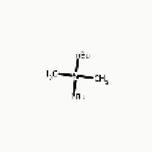 CCCC[Si](C)(C)CCCC